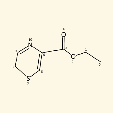 CCOC(=O)C1=CSCC=N1